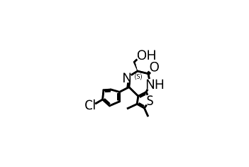 Cc1sc2c(c1C)C(c1ccc(Cl)cc1)=N[C@@H](CO)C(=O)N2